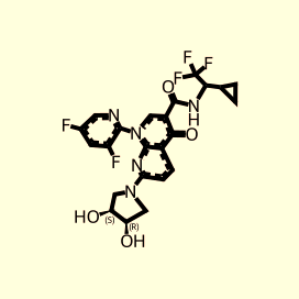 O=C(NC(C1CC1)C(F)(F)F)c1cn(-c2ncc(F)cc2F)c2nc(N3C[C@@H](O)[C@@H](O)C3)ccc2c1=O